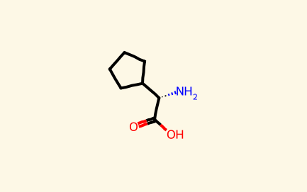 N[C@H](C(=O)O)C1CCCC1